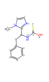 Cn1ccnc1C(Cc1ccccc1)NC(O)=S